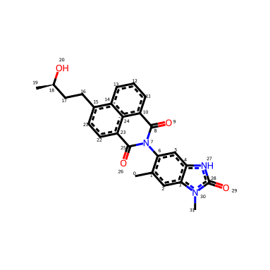 Cc1cc2c(cc1N1C(=O)c3cccc4c(CC[C@@H](C)O)ccc(c34)C1=O)[nH]c(=O)n2C